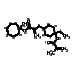 C=C(C)C(=O)OC1(CC)CCC(CC(=C)C(=O)OC2(C)CCCCCC2)CC1